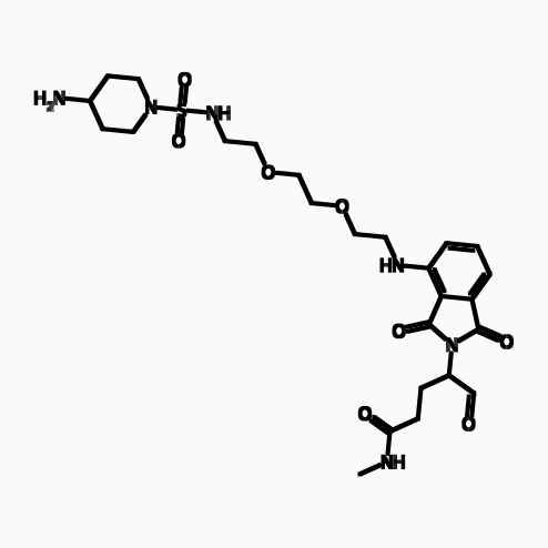 CNC(=O)CCC(C=O)N1C(=O)c2cccc(NCCOCCOCCNS(=O)(=O)N3CCC(N)CC3)c2C1=O